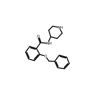 O=C(NC1CCNCC1)c1ccccc1OCc1ccccc1